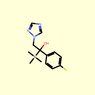 C[Si](C)(C)C(O)(Cn1cncn1)c1ccc(F)cc1